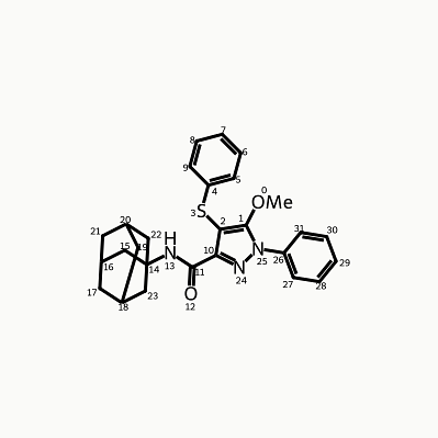 COc1c(Sc2ccccc2)c(C(=O)NC23CC4CC(CC(C4)C2)C3)nn1-c1ccccc1